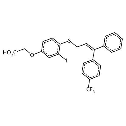 O=C(O)COc1ccc(SCC=C(c2ccccc2)c2ccc(C(F)(F)F)cc2)c(I)c1